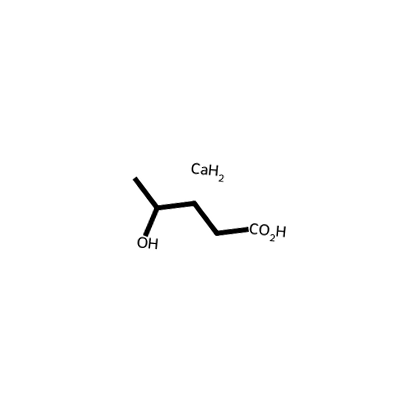 CC(O)CCC(=O)O.[CaH2]